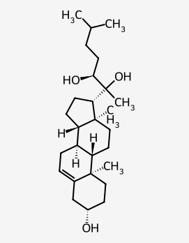 CC(C)CC[C@H](O)C(C)(O)[C@H]1CC[C@H]2[C@@H]3CC=C4C[C@@H](O)CC[C@]4(C)[C@H]3CC[C@]12C